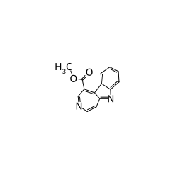 COC(=O)c1cnccc2nc3ccccc3c1-2